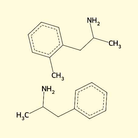 CC(N)Cc1ccccc1.Cc1ccccc1CC(C)N